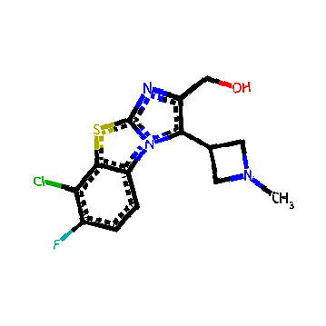 CN1CC(c2c(CO)nc3sc4c(Cl)c(F)ccc4n23)C1